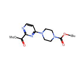 COC(=O)c1nccc(N2CCN(C(=O)OC(C)(C)C)CC2)n1